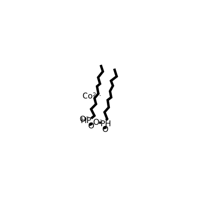 CCCCCCCCCC[PH](=O)[O-].CCCCCCCCCC[PH](=O)[O-].[Co+2]